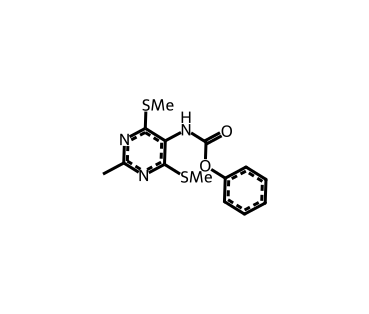 CSc1nc(C)nc(SC)c1NC(=O)Oc1ccccc1